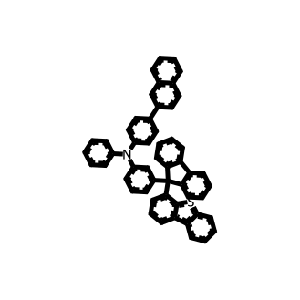 c1ccc(N(c2ccc(-c3ccc4ccccc4c3)cc2)c2cccc(C3(c4cccc5c4sc4ccccc45)c4ccccc4-c4ccccc43)c2)cc1